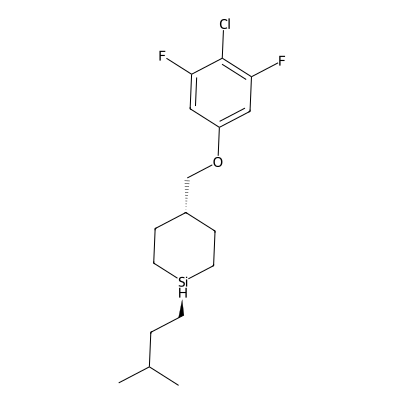 CC(C)CC[Si@H]1CC[C@H](COc2cc(F)c(Cl)c(F)c2)CC1